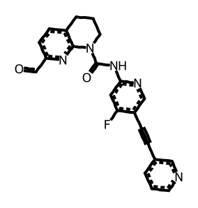 O=Cc1ccc2c(n1)N(C(=O)Nc1cc(F)c(C#Cc3cccnc3)cn1)CCC2